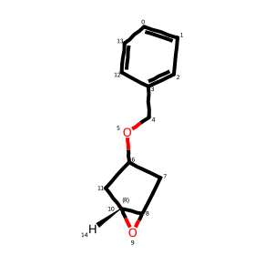 c1ccc(COC2CC3O[C@@H]3C2)cc1